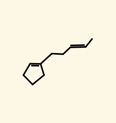 CC=CCCC1=CCCC1